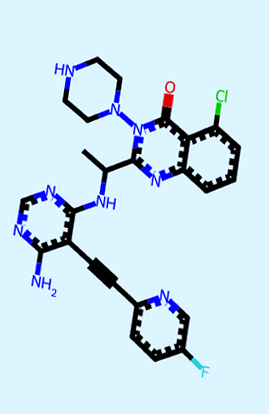 CC(Nc1ncnc(N)c1C#Cc1ccc(F)cn1)c1nc2cccc(Cl)c2c(=O)n1N1CCNCC1